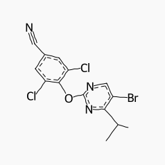 CC(C)c1nc(Oc2c(Cl)cc(C#N)cc2Cl)ncc1Br